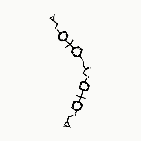 CC(C)(c1ccc(OCC(=O)COc2ccc(C(C)(C)c3ccc(OCC4CO4)cc3)cc2)cc1)c1ccc(OCC2CO2)cc1